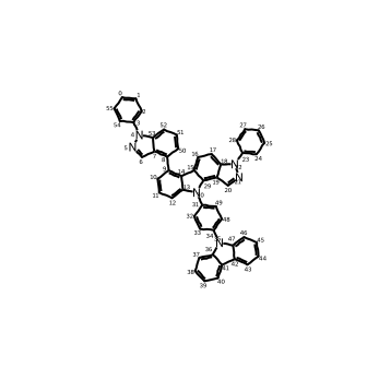 c1ccc(-n2ncc3c(-c4cccc5c4c4ccc6c(cnn6-c6ccccc6)c4n5-c4ccc(-n5c6ccccc6c6ccccc65)cc4)cccc32)cc1